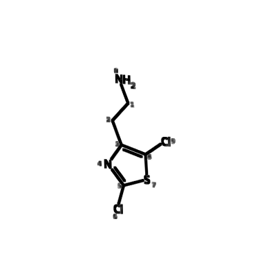 NCCc1nc(Cl)sc1Cl